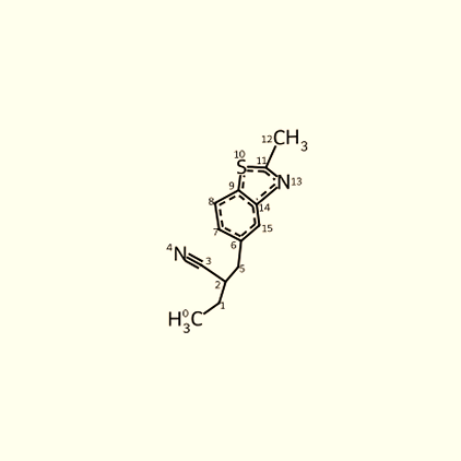 CCC(C#N)Cc1ccc2sc(C)nc2c1